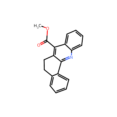 COC(=O)c1c2c(nc3ccccc13)-c1ccccc1CC2